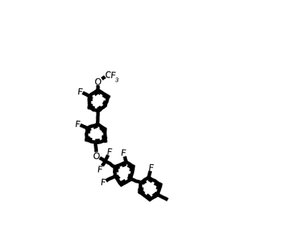 Cc1ccc(-c2cc(F)c(C(F)(F)Oc3ccc(-c4ccc(OC(F)(F)F)c(F)c4)c(F)c3)c(F)c2)c(F)c1